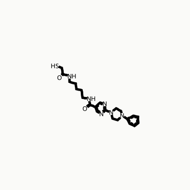 O=C(CS)NCCCCCNC(=O)c1cnc(N2CCN(c3ccccc3)CC2)nc1